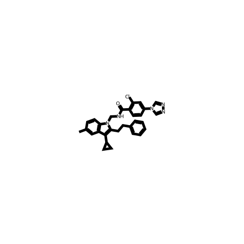 Cc1ccc2c(c1)c(C1CC1)c(CCc1ccccc1)n2CNC(=O)c1ccc(-n2cnnc2)cc1Cl